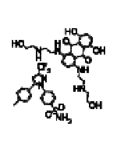 Cc1ccc(-c2cc(C(F)(F)F)nn2-c2ccc(S(N)(=O)=O)cc2)cc1.O=C1c2c(O)ccc(O)c2C(=O)c2c(NCCNCCO)ccc(NCCNCCO)c21